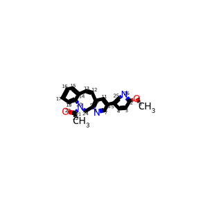 COc1ccc(-c2cnc3c(c2)/C=C\c2ccccc2N(C(C)=O)C3)cn1